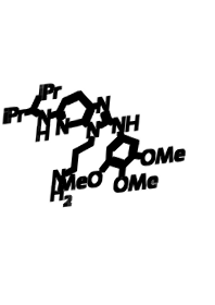 COc1cc(Nc2nc3ccc(NC(C(C)C)C(C)C)nc3n2CCCN)cc(OC)c1OC